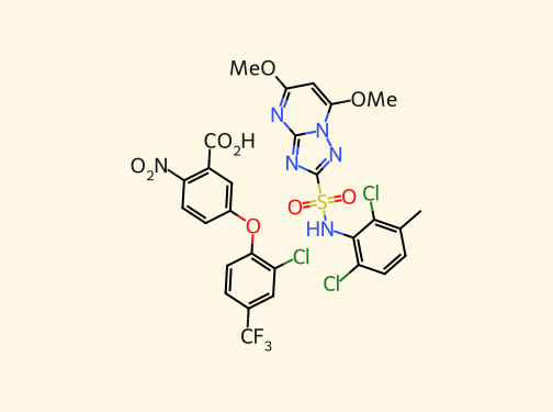 COc1cc(OC)n2nc(S(=O)(=O)Nc3c(Cl)ccc(C)c3Cl)nc2n1.O=C(O)c1cc(Oc2ccc(C(F)(F)F)cc2Cl)ccc1[N+](=O)[O-]